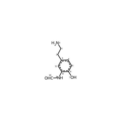 NCCc1ccc(O)c(NC=O)c1